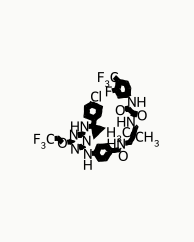 CC(C)(CNC(=O)C(=O)Nc1ccc(C(F)(F)F)c(F)c1)CNC(=O)c1ccc(Nc2nc(NC3(c4ccc(Cl)cc4)CC3)nc(OCC(F)(F)F)n2)cc1